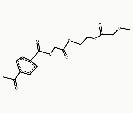 COCC(=O)OCCOC(=O)COC(=O)c1ccc(C(C)=O)cc1